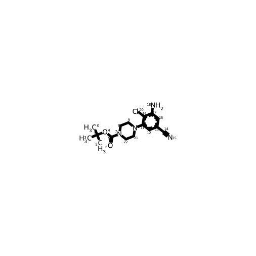 CC(C)(C)OC(=O)N1CCN(c2cc(C#N)cc(N)c2Cl)CC1